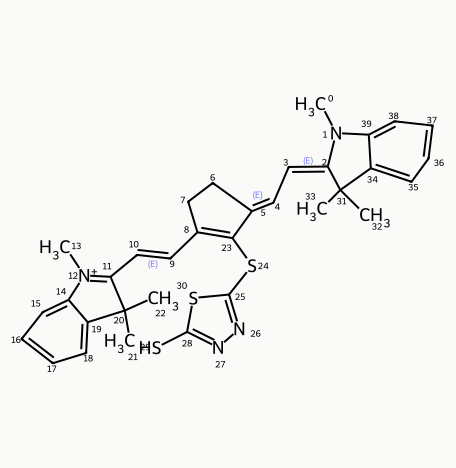 CN1/C(=C/C=C2\CCC(/C=C/C3=[N+](C)c4ccccc4C3(C)C)=C2Sc2nnc(S)s2)C(C)(C)c2ccccc21